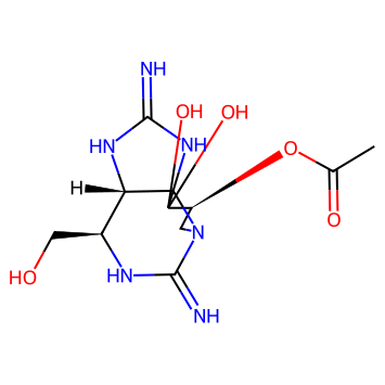 CC(=O)O[C@H]1CN2C(=N)N[C@@H](CO)[C@@H]3NC(=N)NC32C1(O)O